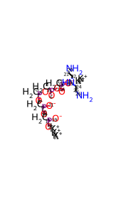 C=P(=O)[O-].C=P(=O)[O-].C=P(=O)[O-].C=P(=O)[O-].C=P(=O)[O-].NCCNCCN.[K+].[K+].[K+].[K+].[K+]